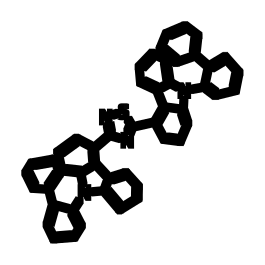 c1ccc(-c2ccccc2-n2c3ccccc3c3c(-c4nsc(-c5cccc6c5c5ccccc5n6-c5ccccc5-c5ccccc5)n4)cccc32)cc1